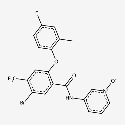 Cc1cc(F)ccc1Oc1cc(C(F)(F)F)c(Br)cc1C(=O)Nc1ccc[n+]([O-])c1